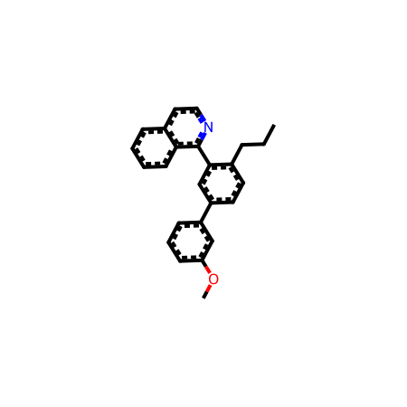 CCCc1ccc(-c2cccc(OC)c2)cc1-c1nccc2ccccc12